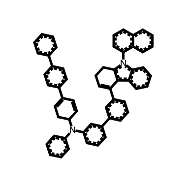 C1=CC(N(c2ccccc2)c2cccc(-c3cccc(C4=CCCc5c4c4ccccc4n5-c4cccc5ccccc45)c3)c2)CC=C1c1ccc(-c2ccccc2)cc1